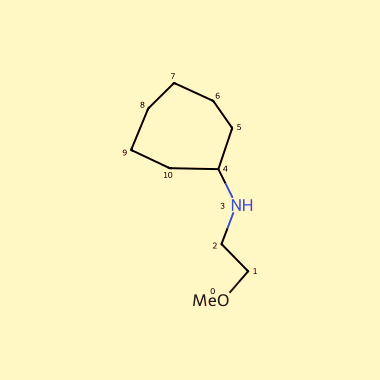 COCCNC1CCCCCC1